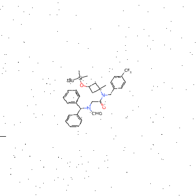 CC1(N(Cc2ccc(C(F)(F)F)cc2)C(=O)CN(C=O)C(c2ccccc2)c2ccccc2)CC(O[Si](C)(C)C(C)(C)C)C1